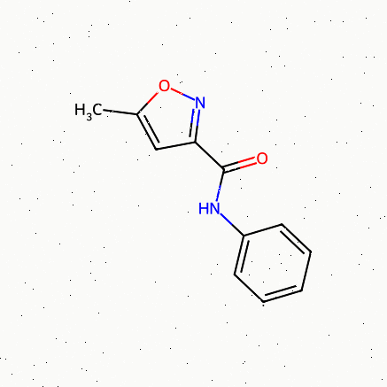 Cc1cc(C(=O)Nc2c[c]ccc2)no1